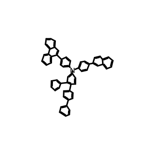 c1ccc(-c2ccc(-c3ccc(N(c4ccc(-c5ccc6ccccc6c5)cc4)c4ccc(-c5cc6ccccc6c6ccccc56)cc4)cc3-c3ccccc3)cc2)cc1